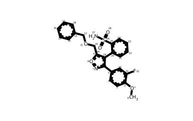 COc1ccc(-c2noc(COCc3ccccc3)c2-c2ccccc2S(N)(=O)=O)cc1F